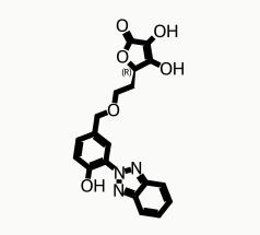 O=C1O[C@H](CCOCc2ccc(O)c(-n3nc4ccccc4n3)c2)C(O)=C1O